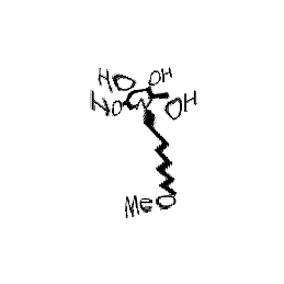 COCCCCCCCCCN1CC(O)C(O)C(O)C1CO